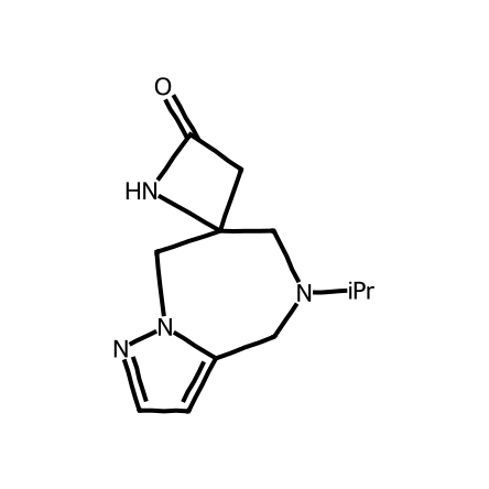 CC(C)N1Cc2ccnn2CC2(CC(=O)N2)C1